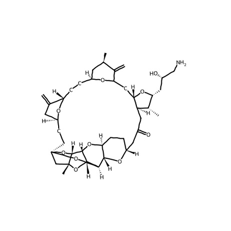 C=C1C2C[C@@H]3O[C@H](C[C@H](O)CN)[C@H](C)[C@H]3CC(=O)C[C@H]3CC[C@@H]4O[C@@H]5[C@H]6O[C@]7(C)C[C@](CC[C@H]8CC(=C)[C@H](CC[C@@H](C[C@H]1C)O2)O8)(O[C@H]6[C@H]4O3)O[C@H]57